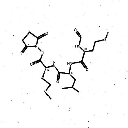 CSCC[C@H](NC=O)C(=O)N[C@@H](CC(C)C)C(=O)N[C@@H](CCSC)C(=O)ON1C(=O)CCC1=O